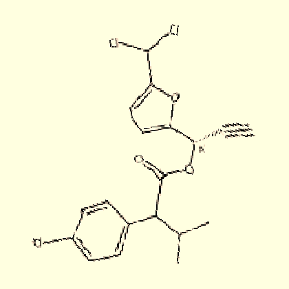 C#C[C@H](OC(=O)C(c1ccc(Cl)cc1)C(C)C)c1ccc(C(Cl)Cl)o1